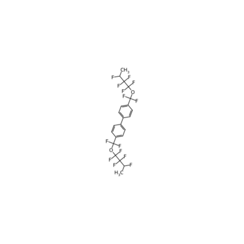 CC(F)C(F)(F)C(F)(F)OC(F)(F)c1ccc(-c2ccc(C(F)(F)OC(F)(F)C(F)(F)C(C)F)cc2)cc1